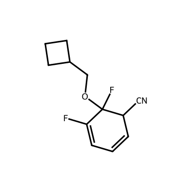 N#CC1C=CC=C(F)C1(F)OCC1CCC1